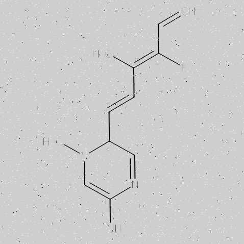 C=C/C(F)=C(C)/C=C/C1C=NC(N)=CN1C